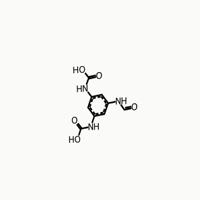 O=CNc1cc(NC(=O)O)cc(NC(=O)O)c1